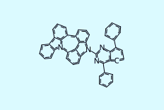 c1ccc(-c2nc(-n3c4cccc5c6cccc7c8ccccc8n(c8cccc3c8c54)c67)nc3c(-c4ccccc4)cccc23)cc1